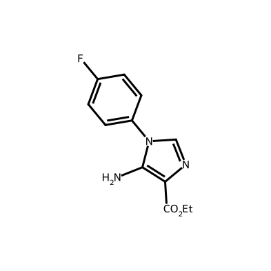 CCOC(=O)c1ncn(-c2ccc(F)cc2)c1N